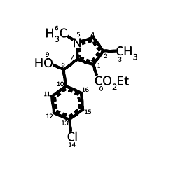 CCOC(=O)c1c(C)cn(C)c1C(O)c1ccc(Cl)cc1